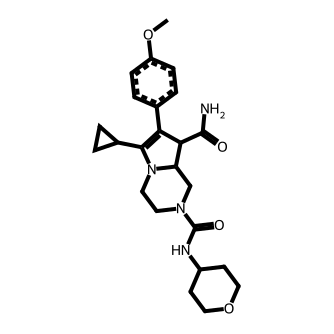 COc1ccc(C2=C(C3CC3)N3CCN(C(=O)NC4CCOCC4)CC3C2C(N)=O)cc1